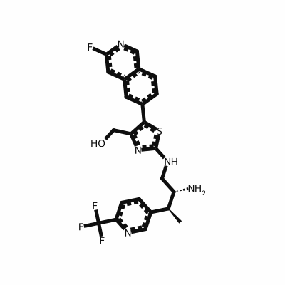 C[C@@H](c1ccc(C(F)(F)F)nc1)[C@@H](N)CNc1nc(CO)c(-c2ccc3cnc(F)cc3c2)s1